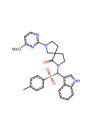 COc1ccnc(N2CCC3(CCN(C(c4c[nH]c5ccccc45)S(=O)(=O)c4ccc(C)cc4)C3=O)C2)n1